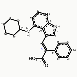 O=C(O)/C(=C/c1c[nH]c2nccc(NC3CCCCC3)c12)c1ccccc1